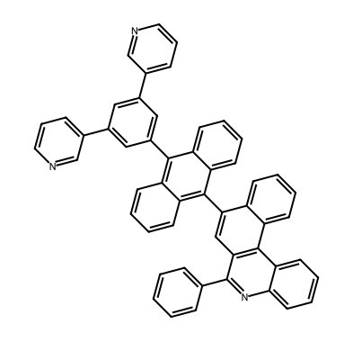 c1ccc(-c2nc3ccccc3c3c2cc(-c2c4ccccc4c(-c4cc(-c5cccnc5)cc(-c5cccnc5)c4)c4ccccc24)c2ccccc23)cc1